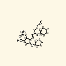 COCCCC(C=CC1C(OC2CCCCO2)CC(O)C1CC(=O)O)OC1CCCCO1